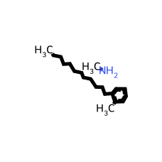 CCCCCCCCCCCCc1ccccc1C.CN